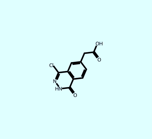 O=C(O)Cc1ccc2c(=O)[nH]nc(Cl)c2c1